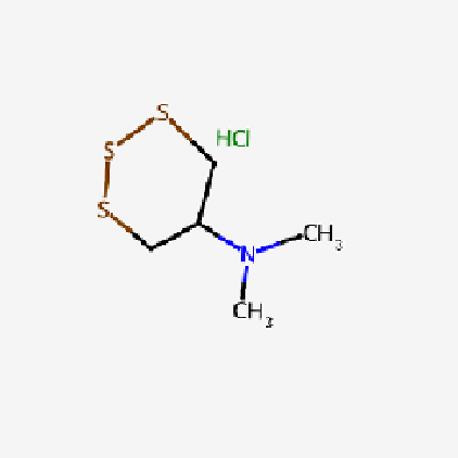 CN(C)C1CSSSC1.Cl